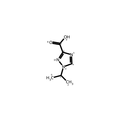 CC(C)n1cnc(C(=O)O)n1